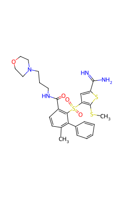 CSc1sc(C(=N)N)cc1S(=O)(=O)c1c(C(=O)NCCCN2CCOCC2)ccc(C)c1-c1ccccc1